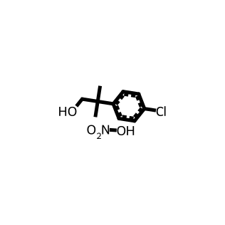 CC(C)(CO)c1ccc(Cl)cc1.O=[N+]([O-])O